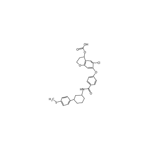 CSc1ccc(C2CCCC(NC(=O)c3ccc(Oc4cc5c(cc4Cl)C(OC(=O)O)CCO5)cc3)C2)cc1